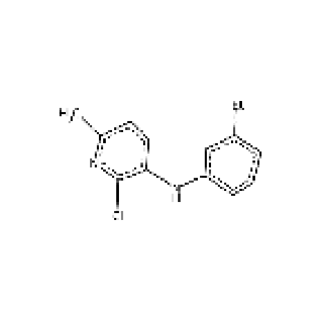 CCc1cccc(Nc2ccc(C)nc2Cl)c1